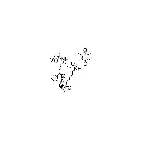 CC1=C(C)C(=O)C(CCC(=O)NCCCC[C@H](NC(=O)[C@@H]2CCCN2C(=O)C/C=C/[C@H](CC(C)C)NC(=O)OC(C)(C)C)C(=O)NC(C)C)=C(C)C1=O